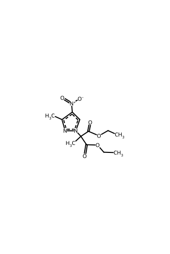 CCOC(=O)C(C)(C(=O)OCC)n1cc([N+](=O)[O-])c(C)n1